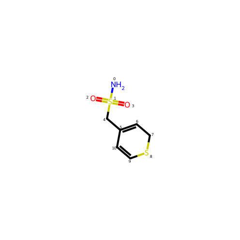 NS(=O)(=O)CC1=CCSC=C1